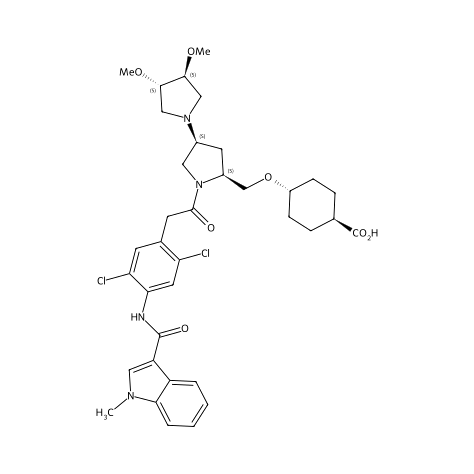 CO[C@H]1CN([C@H]2C[C@@H](CO[C@H]3CC[C@H](C(=O)O)CC3)N(C(=O)Cc3cc(Cl)c(NC(=O)c4cn(C)c5ccccc45)cc3Cl)C2)C[C@@H]1OC